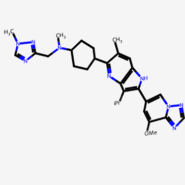 COc1cc(-c2[nH]c3cc(C)c(C4CCC(N(C)Cc5ncn(C)n5)CC4)nc3c2C(C)C)cn2ncnc12